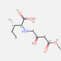 CC[C@H](C)[C@H](NCC(=O)CC(=O)OC)C(=O)O